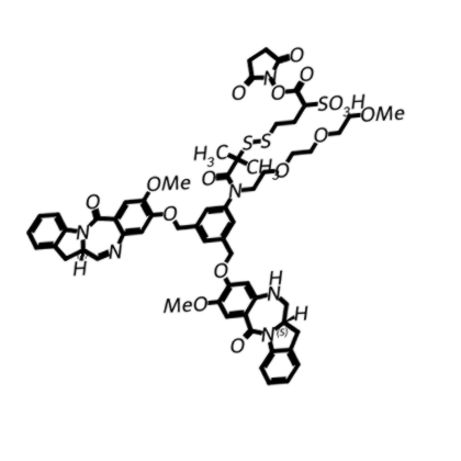 COCCOCCOCCN(C(=O)C(C)(C)SSCCC(C(=O)ON1C(=O)CCC1=O)S(=O)(=O)O)c1cc(COc2cc3c(cc2OC)C(=O)N2c4ccccc4C[C@H]2C=N3)cc(COc2cc3c(cc2OC)C(=O)N2c4ccccc4C[C@H]2CN3)c1